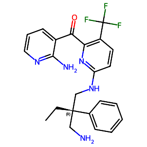 CC[C@@](CN)(CNc1ccc(C(F)(F)F)c(C(=O)c2cccnc2N)n1)c1ccccc1